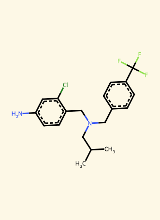 CC(C)CN(Cc1ccc(C(F)(F)F)cc1)Cc1ccc(N)cc1Cl